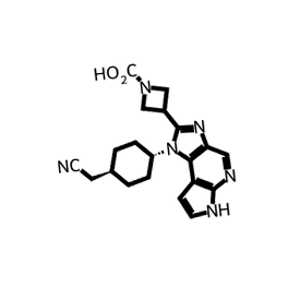 N#CC[C@H]1CC[C@H](n2c(C3CN(C(=O)O)C3)nc3cnc4[nH]ccc4c32)CC1